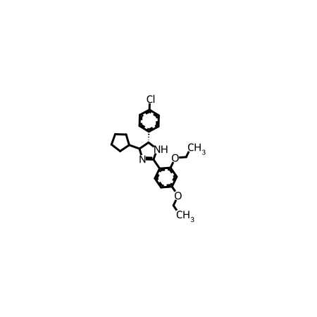 CCOc1ccc(C2=NC(C3CCCC3)[C@H](c3ccc(Cl)cc3)N2)c(OCC)c1